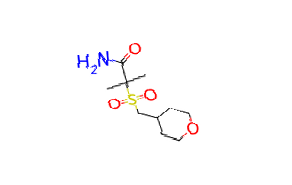 CC(C)(C(N)=O)S(=O)(=O)CC1CCOCC1